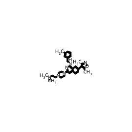 Cc1cccc(CNc2nc(N3CCN(CCN(C)C)CC3)cc3ccc(-c4c(C)noc4C)cc23)c1